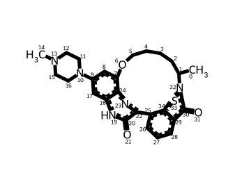 CC1CCCCOc2cc(N3CCN(C)CC3)cc3[nH]c(=O)c(nc23)-c2cccc3c(=O)n1sc23